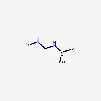 CCNCN[SiH](C(C)C)C(C)(C)C